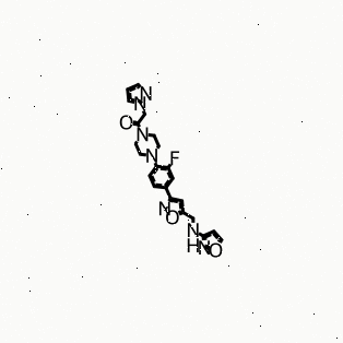 O=C(Cn1cccn1)N1CCN(c2ccc(-c3cc(CNc4ccon4)on3)cc2F)CC1